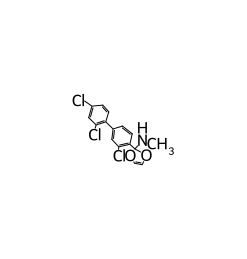 CNC1(c2ccc(-c3ccc(Cl)cc3Cl)cc2Cl)OC=CO1